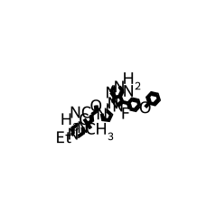 CCN1CCN(C(C)(C)C=C(C#N)C(=O)N2CCC[C@@H]2Cn2nc(-c3ccc(Oc4ccccc4)cc3F)c3c(N)ncnc32)CC1